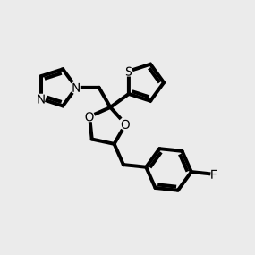 Fc1ccc(CC2COC(Cn3ccnc3)(c3cccs3)O2)cc1